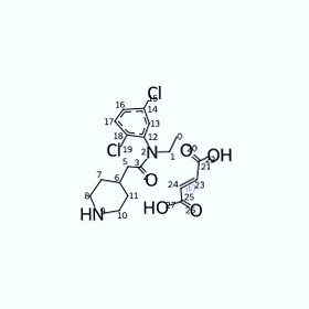 CCN(C(=O)CC1CCNCC1)c1cc(Cl)ccc1Cl.O=C(O)/C=C/C(=O)O